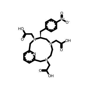 O=C(O)CN1CCN(CC(=O)O)C[C@H](Cc2ccc([N+](=O)[O-])cc2)N(CC(=O)O)Cc2cccc(n2)C1